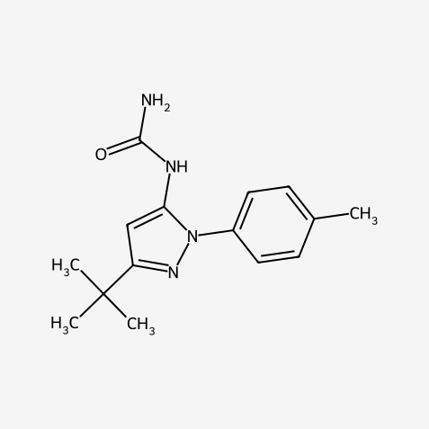 Cc1ccc(-n2nc(C(C)(C)C)cc2NC(N)=O)cc1